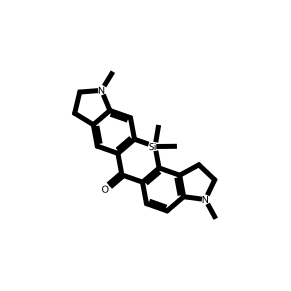 CN1CCc2cc3c(cc21)[Si](C)(C)c1c(ccc2c1CCN2C)C3=O